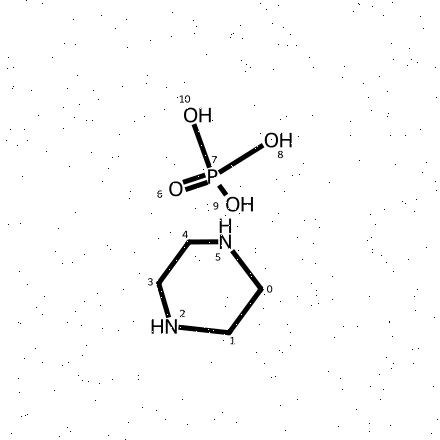 C1CNCCN1.O=P(O)(O)O